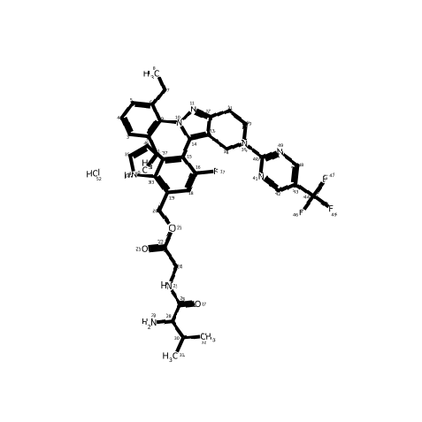 CCc1cccc(CC)c1-n1nc2c(c1-c1c(F)cc(COC(=O)CNC(=O)C(N)C(C)C)c3[nH]ccc13)CN(c1ncc(C(F)(F)F)cn1)CC2.Cl